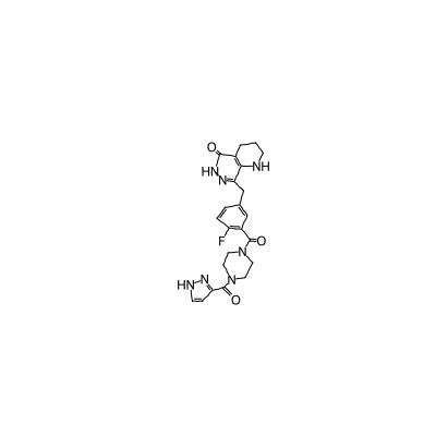 O=C(c1cc[nH]n1)N1CCN(C(=O)c2cc(Cc3n[nH]c(=O)c4c3NCCC4)ccc2F)CC1